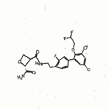 NC(=O)[C@@H]1OC[C]1C(=O)NCCc1ccc(-c2cc(Cl)cc(Cl)c2OCC(F)F)cc1F